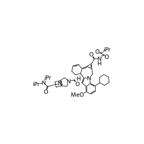 COc1ccc(C2CCCCC2)c2c1cc1n2CC2=C(C(=O)NS(=O)(=O)C(C)C)C2=C2C=CC[C@@H](C(=O)N3CC45CCC4(C3)CN(C(=O)N(C(C)C)C(C)C)C5)[C@@H]21